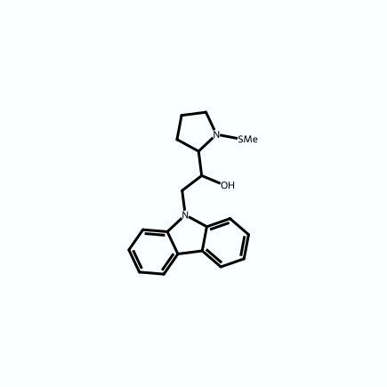 CSN1CCCC1C(O)Cn1c2ccccc2c2ccccc21